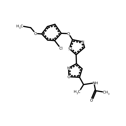 CCOc1ccc(Oc2ncc(-c3cc(C(C)NC(C)=O)on3)s2)c(Cl)c1